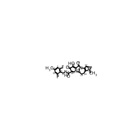 Cc1cc(F)c(CNC(=O)c2cn3c(c(O)c2=O)C(=O)N2CC3CCc3c2cnn3C)c(F)c1